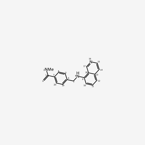 C=C(NC)c1ccc(CNc2cccc3ccncc23)cc1